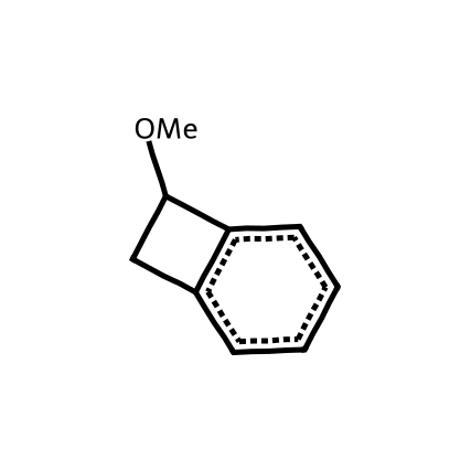 COC1Cc2ccccc21